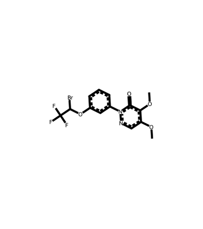 COc1cnn(-c2cccc(OC(Br)C(F)(F)F)c2)c(=O)c1OC